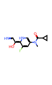 CN(C(=O)C1CC1)C1=CN/C(=C(/O)C=N)C(F)=C1